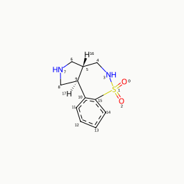 O=S1(=O)NC[C@H]2CNC[C@@H]2c2ccccc21